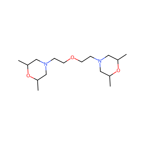 CC1CN(CCOCCN2CC(C)OC(C)C2)CC(C)O1